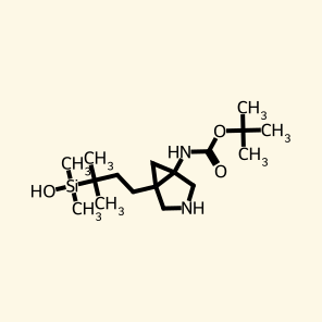 CC(C)(C)OC(=O)NC12CNCC1(CCC(C)(C)[Si](C)(C)O)C2